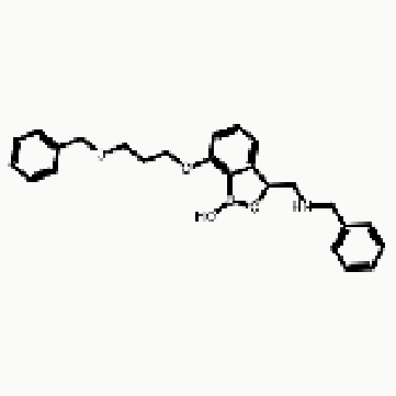 OB1OC(CNCc2ccccc2)c2cccc(OCCCOCc3ccccc3)c21